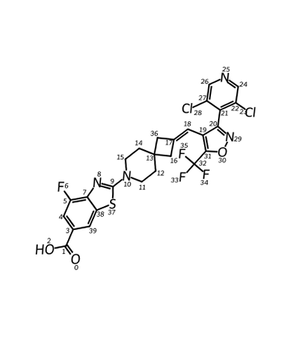 O=C(O)c1cc(F)c2nc(N3CCC4(CC3)CC(=Cc3c(-c5c(Cl)cncc5Cl)noc3C(F)(F)F)C4)sc2c1